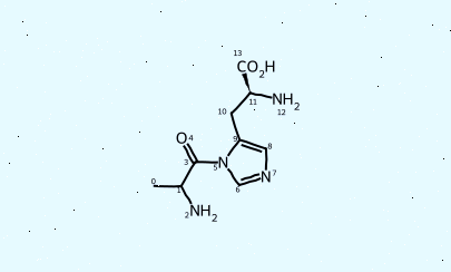 CC(N)C(=O)n1cncc1C[C@H](N)C(=O)O